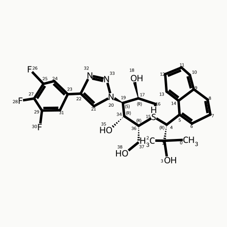 CC(C)(O)[C@@H](c1cccc2ccccc12)[SH]1C[C@H](O)[C@H](n2cc(-c3cc(F)c(F)c(F)c3)nn2)[C@@H](O)[C@H]1CO